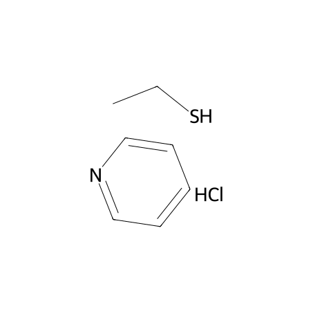 CCS.Cl.c1ccncc1